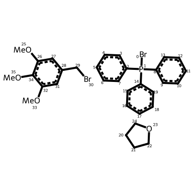 Br[P](c1ccccc1)(c1ccccc1)c1ccccc1.C1CCOC1.COc1cc(CBr)cc(OC)c1OC